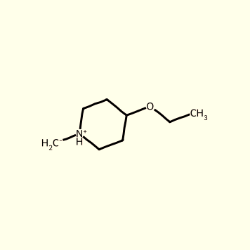 [CH2-][NH+]1CCC(OCC)CC1